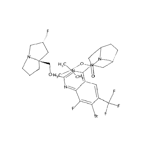 CC(C)(C)OC(=O)N1C2CCC1CN(c1nc(OC[C@@]34CCCN3C[C@H](F)C4)nc3c(F)c(Br)c(C(F)(F)F)cc13)C2